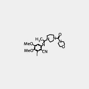 COc1cc(N=C(C)N2CCCN(C(=O)N3CCOCC3)CC2)c(C#N)c(I)c1OC